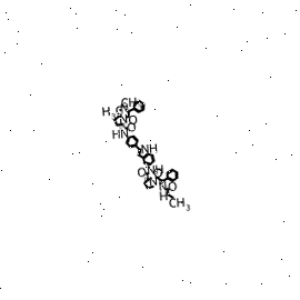 CCCC(=O)N[C@@H](C(=O)N1CCC[C@H]1C(=O)Nc1ccc2[nH]c(-c3ccc(NC(=O)[C@@H]4CCCN4C(=O)C(c4ccccc4)N(C)C)cc3)cc2c1)c1ccccc1